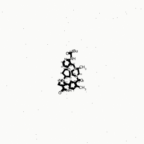 Cc1cc2[nH]c(=O)c3cnn(C4CCOCC4)c3c2cc1C(=O)N1CCN(Cc2cccnc2NC(=O)C(C)(C)C)[C@@H](C)C1